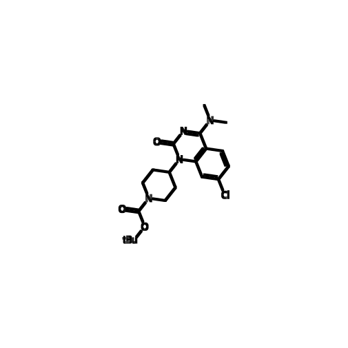 CN(C)c1nc(=O)n(C2CCN(C(=O)OC(C)(C)C)CC2)c2cc(Cl)ccc12